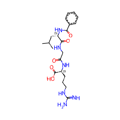 CC(C)C[C@H](NC(=O)c1ccccc1)C(=O)NCC(=O)N[C@@H](CCCNC(=N)N)C(=O)O